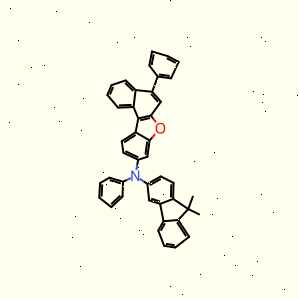 CC1(C)c2ccccc2-c2cc(N(c3ccccc3)c3ccc4c(c3)oc3cc(-c5ccccc5)c5ccccc5c34)ccc21